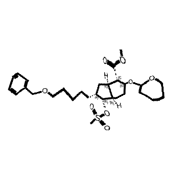 COC(=O)[C@H]1[C@@H]2C[C@@H](CCCCCOCc3ccccc3)[C@@H](OS(C)(=O)=O)[C@@H]2C[C@@H]1OC1CCCCO1